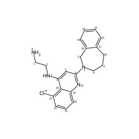 NCCNc1cc(N2CCCc3ccccc3C2)nc2cccc(Cl)c12